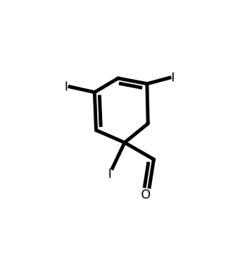 O=CC1(I)C=C(I)C=C(I)C1